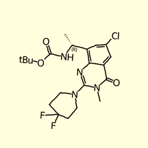 C[C@@H](NC(=O)OC(C)(C)C)c1cc(Cl)cc2c(=O)n(C)c(N3CCC(F)(F)CC3)nc12